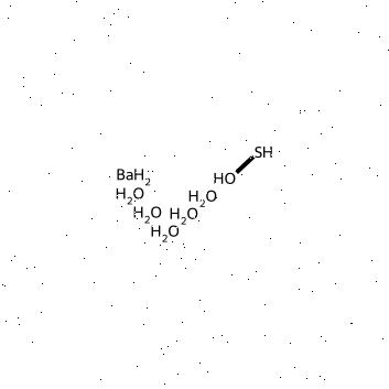 O.O.O.O.O.OS.[BaH2]